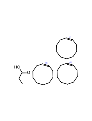 C1=C\CCCCCCCC/1.C1=C\CCCCCCCC/1.C1=C\CCCCCCCC/1.CCC(=O)O